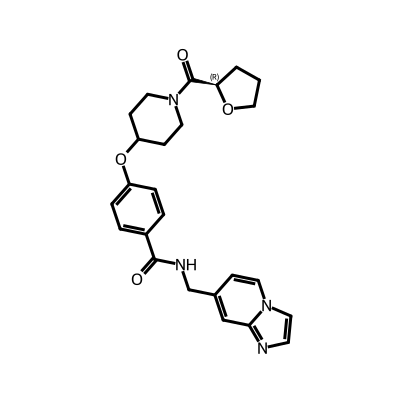 O=C(NCc1ccn2ccnc2c1)c1ccc(OC2CCN(C(=O)[C@H]3CCCO3)CC2)cc1